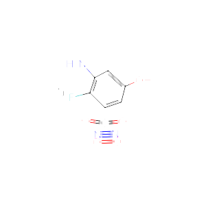 N#N.Nc1cc(O)ccc1F.O=C=O.O=O.[Ar]